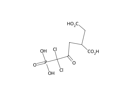 O=C(O)CC(CC(=O)C(Cl)(Cl)P(=O)(O)O)C(=O)O